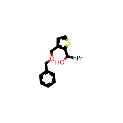 CCCC(O)c1sccc1COCc1ccccc1